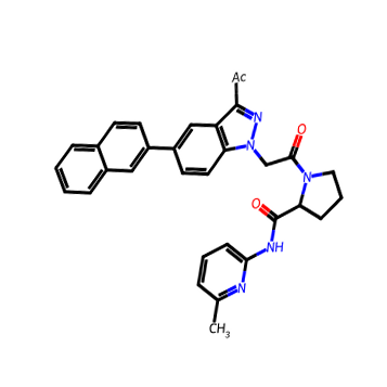 CC(=O)c1nn(CC(=O)N2CCCC2C(=O)Nc2cccc(C)n2)c2ccc(-c3ccc4ccccc4c3)cc12